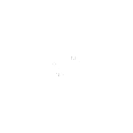 NCCC(=O)N=O